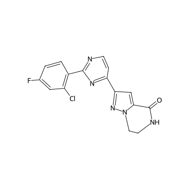 O=C1NCCn2nc(-c3ccnc(-c4ccc(F)cc4Cl)n3)cc21